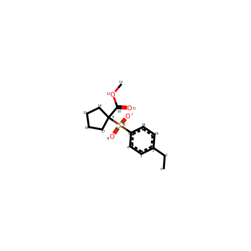 CCc1ccc(S(=O)(=O)C2(C(=O)OC)CCCC2)cc1